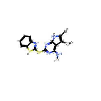 CCNc1nc(Sc2nc3ccccc3s2)nc2[nH]c(CC)c(C=O)c12